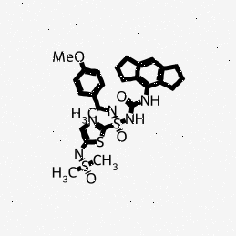 COc1ccc([C@H](C)N=S(=O)(NC(=O)Nc2c3c(cc4c2CCC4)CCC3)c2ncc(N=S(C)(C)=O)s2)cc1